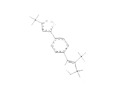 CC(C)(C)C1=C(c2c[c]c(-c3cc(C(F)(F)F)on3)cc2)OCC1(C)C